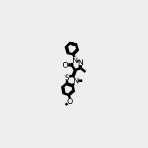 COc1ccc2c(c1)N(C)C(=C1C(=O)N(c3ccccc3)N=C1C)S2